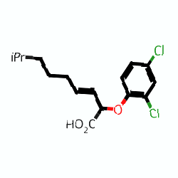 CC(C)CCCC=CC(Oc1ccc(Cl)cc1Cl)C(=O)O